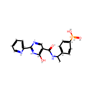 CC(NC(=O)c1cnc(-c2ccccn2)nc1O)c1ccc([PH](=O)O)cc1